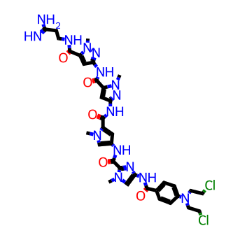 Cn1cc(NC(=O)c2nc(NC(=O)c3ccc(N(CCCl)CCCl)cc3)cn2C)cc1C(=O)Nc1cc(C(=O)Nc2cc(C(=O)NCCC(=N)N)n(C)n2)n(C)n1